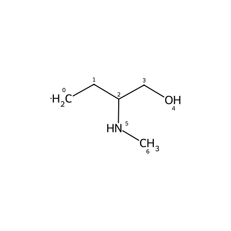 [CH2]CC(CO)NC